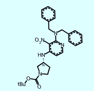 CC(C)(C)OC(=O)N1CC[C@@H](Nc2ccnc(N(Cc3ccccc3)Cc3ccccc3)c2[N+](=O)[O-])C1